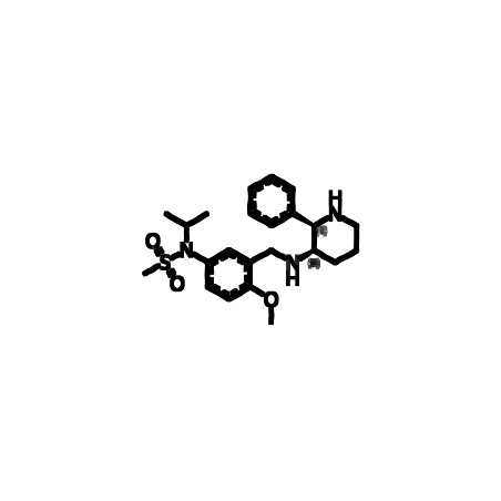 COc1ccc(N(C(C)C)S(C)(=O)=O)cc1CN[C@@H]1CCCN[C@@H]1c1ccccc1